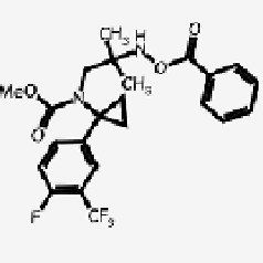 COC(=O)N(CC(C)(C)NOC(=O)c1ccccc1)C1(c2ccc(F)c(C(F)(F)F)c2)CC1